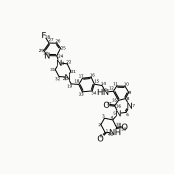 O=C1CCC(n2cnc3cccc(NCc4ccc(CN5CCN(c6ccc(F)cn6)CC5)cc4)c3c2=O)C(=O)N1